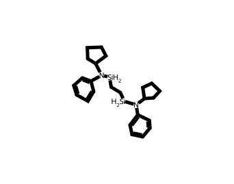 c1ccc(N([SiH2]CC[SiH2]N(c2ccccc2)C2CCCC2)C2CCCC2)cc1